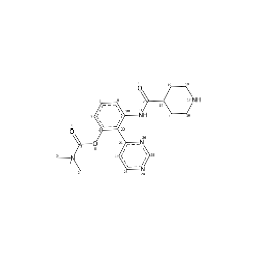 CN(C)C(=O)Oc1cccc(NC(=O)C2CCNCC2)c1-c1ccncn1